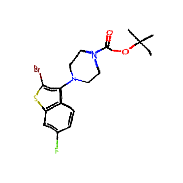 CC(C)(C)OC(=O)N1CCN(c2c(Br)sc3cc(F)ccc23)CC1